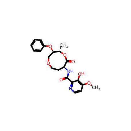 COc1ccnc(C(=O)N[C@H]2CCOC[C@@H](Oc3ccccc3)[C@H](C)OC2=O)c1O